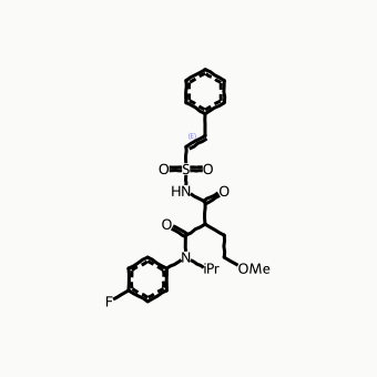 COCCC(C(=O)NS(=O)(=O)/C=C/c1ccccc1)C(=O)N(c1ccc(F)cc1)C(C)C